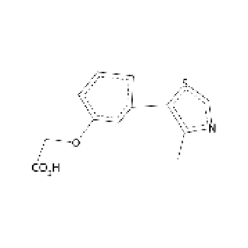 Cc1ncsc1-c1cccc(OCC(=O)O)c1